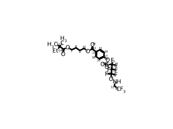 CCC(C)(C)C(=O)OCCCCOC(=O)c1ccc(OS(=O)(=O)C(F)(F)C(F)(F)C(F)(F)ONCC(F)(F)F)cc1